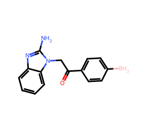 Bc1ccc(C(=O)Cn2c(N)nc3ccccc32)cc1